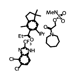 CCC(=O)c1c(C(C)C)cc2c(c1C)CCC2(C)C.CNS(=O)(=O)OCC(=O)N1CCCCCC1.FC(F)(F)c1nc2c(Cl)c(Cl)ccc2[nH]1